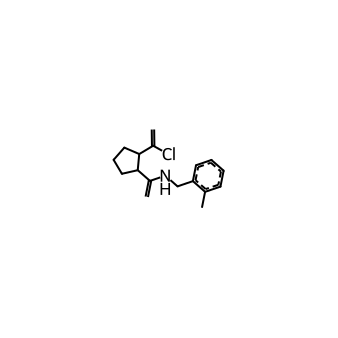 C=C(Cl)C1CCCC1C(=C)NCc1ccccc1C